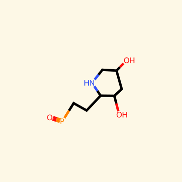 O=PCCC1NCC(O)CC1O